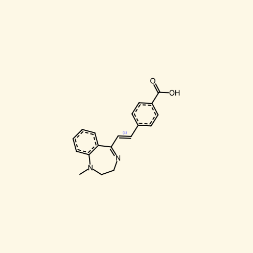 CN1CCN=C(/C=C/c2ccc(C(=O)O)cc2)c2ccccc21